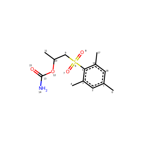 Cc1cc(C)c(S(=O)(=O)CC(C)OC(N)=O)c(C)c1